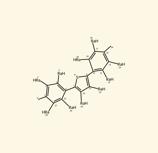 Cc1[c]([RaH])[c]([RaH])c(-c2sc(-c3[c]([RaH])[c]([RaH])c(C)[c]([RaH])[c]3[RaH])[c]([RaH])[c]2[RaH])[c]([RaH])[c]1[RaH]